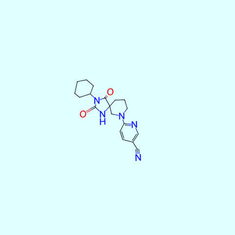 N#Cc1ccc(N2CCCC3(C2)NC(=O)N(C2CCCCC2)C3=O)nc1